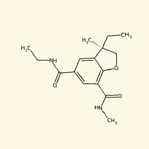 CCNC(=O)c1cc(C(=O)NC)c2c(c1)[C@@](C)(CC)CO2